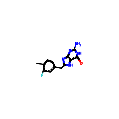 Cc1ccc(Cc2nc3nc(N)[nH]c(=O)c3[nH]2)cc1F